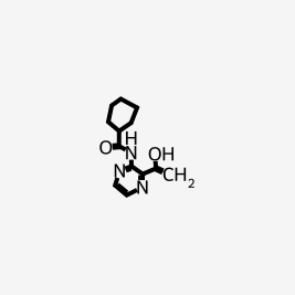 C=C(O)c1nccnc1NC(=O)C1CCCCC1